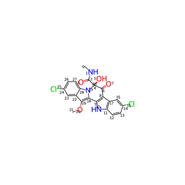 CNC(=O)[C@]1(O)C(=O)c2c([nH]c3ccc(Cl)cc23)-c2c(OC)c3cc(Cl)ccc3n21